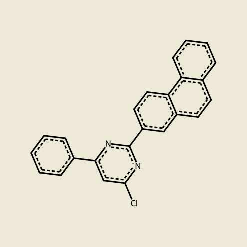 Clc1cc(-c2ccccc2)nc(-c2ccc3c(ccc4ccccc43)c2)n1